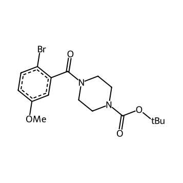 COc1ccc(Br)c(C(=O)N2CCN(C(=O)OC(C)(C)C)CC2)c1